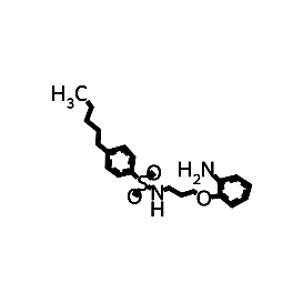 CCCCCc1ccc(S(=O)(=O)NCCCOc2ccccc2N)cc1